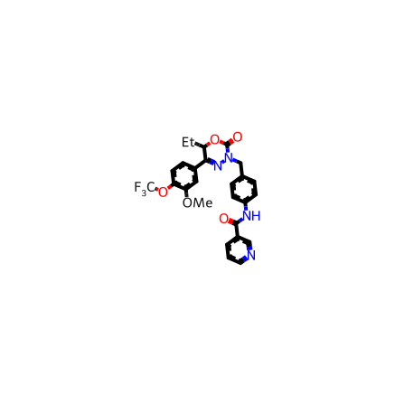 CCC1OC(=O)N(Cc2ccc(NC(=O)c3cccnc3)cc2)N=C1c1ccc(OC(F)(F)F)c(OC)c1